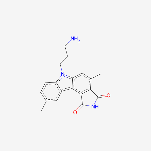 Cc1ccc2c(c1)c1c3c(c(C)cc1n2CCCN)C(=O)NC3=O